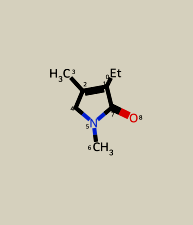 CCC1=C(C)CN(C)C1=O